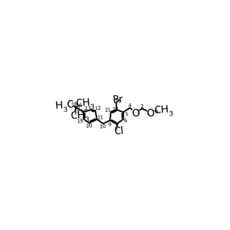 COCOCc1cc(Cl)c(Cc2ccc(C(C)(C)C)cc2)cc1Br